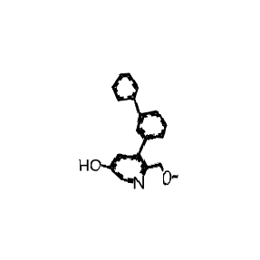 COCc1ncc(O)cc1-c1cccc(-c2ccccc2)c1